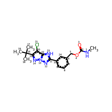 CNC(=O)OCc1cccc(-c2nn3nc(C(C)(C)C)c(Cl)c3[nH]2)c1